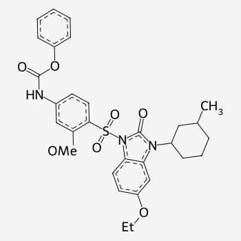 CCOc1ccc2c(c1)n(C1CCCC(C)C1)c(=O)n2S(=O)(=O)c1ccc(NC(=O)Oc2ccccc2)cc1OC